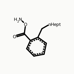 CCCCCCCCc1ccccc1C(=O)ON